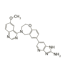 COc1ccc2ncnc(N3CCOc4ccc(-c5cnc6nc(N)[nH]c6c5)cc4C3)c2c1